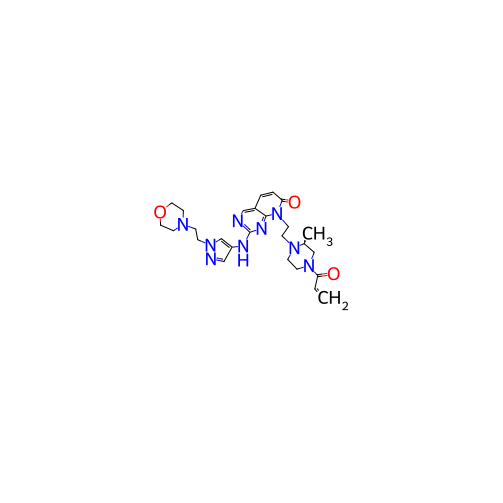 C=CC(=O)N1CCN(CCn2c(=O)ccc3cnc(Nc4cnn(CCN5CCOCC5)c4)nc32)[C@@H](C)C1